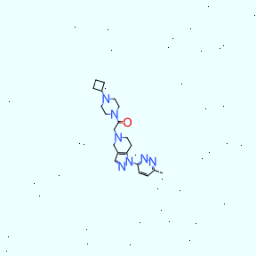 Cc1ccc(-n2ncc3c2CCN(CC(=O)N2CCN(C4CCC4)CC2)C3)nn1